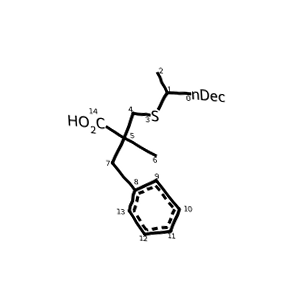 CCCCCCCCCCC(C)SCC(C)(Cc1ccccc1)C(=O)O